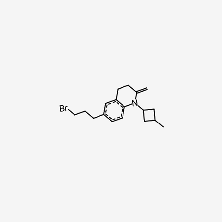 C=C1CCc2cc(CCCBr)ccc2N1C1CC(C)C1